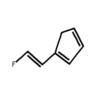 FC=CC1=CC=CC1